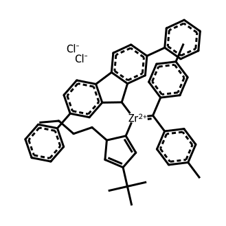 CCCCC1C=C(C(C)(C)C)C=[C]1[Zr+2](=[C](c1ccc(C)cc1)c1ccc(C)cc1)[CH]1c2cc(-c3ccccc3)ccc2-c2ccc(-c3ccccc3)cc21.[Cl-].[Cl-]